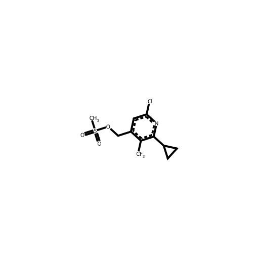 CS(=O)(=O)OCc1cc(Cl)nc(C2CC2)c1C(F)(F)F